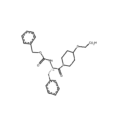 O=C(O)COC1CCN(C(=O)[C@H](Cc2ccccc2)NC(=O)OCc2ccccc2)CC1